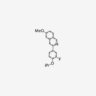 COc1ccc2cnc(-c3ccc(OC(C)C)c(F)c3)cc2c1